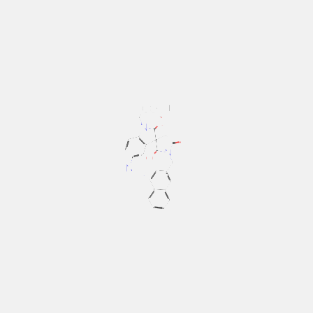 Nc1ccc2c(c1)C1(CC(=O)N(Cc3ccc4ccccc4c3)C1=O)C(=O)N2CC(=O)O